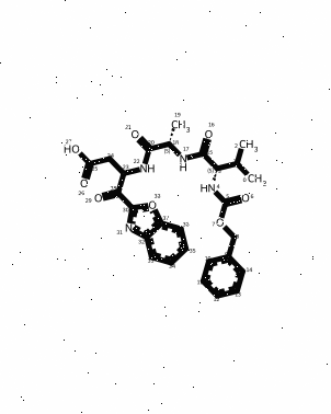 CC(C)[C@H](NC(=O)OCc1ccccc1)C(=O)N[C@@H](C)C(=O)NC(CC(=O)O)C(=O)c1nc2ccccc2o1